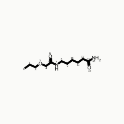 CCCOCC(=O)NCCCCCC(N)=O